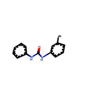 CC(C)c1cccc(NC(=O)Nc2ccccc2)c1